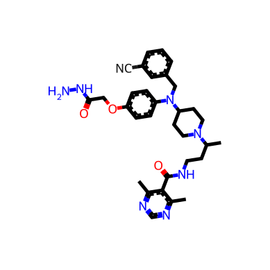 Cc1ncnc(C)c1C(=O)NCCC(C)N1CCC(N(Cc2cccc(C#N)c2)c2ccc(OCC(=O)NN)cc2)CC1